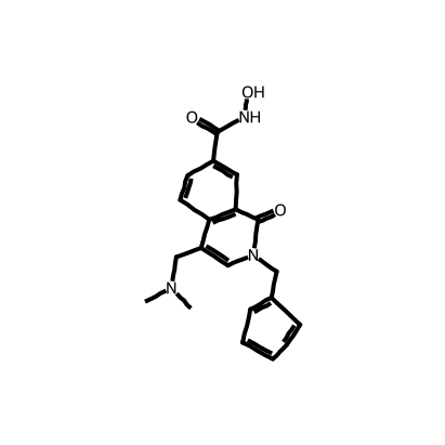 CN(C)Cc1cn(Cc2ccccc2)c(=O)c2cc(C(=O)NO)ccc12